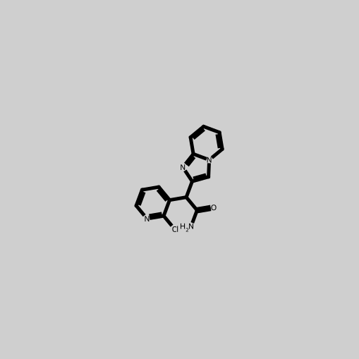 NC(=O)C(c1cn2ccccc2n1)c1cccnc1Cl